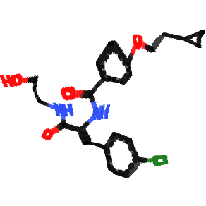 O=C(NCCO)C(=Cc1ccc(Cl)cc1)NC(=O)c1ccc(OCCC2CC2)cc1